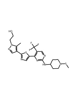 CSN1CCC(Nc2ncc(C(F)(F)F)c(-c3cnc(-c4cnn(CCO)c4C)s3)n2)CC1